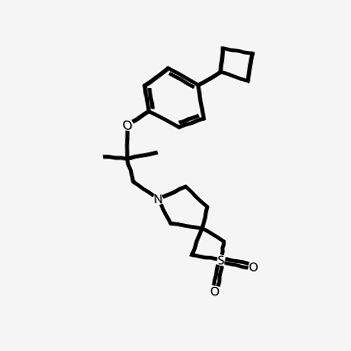 CC(C)(CN1CCC2(C1)CS(=O)(=O)C2)Oc1ccc(C2CCC2)cc1